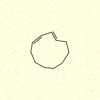 C1=C\CCCCCCC/C=C/1